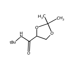 CC(C)(C)NC(=O)C1COC(C)(C)O1